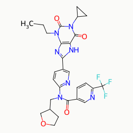 CCCn1c(=O)n(C2CC2)c(=O)c2[nH]c(-c3ccc(N(CC4CCOC4)C(=O)c4ccc(C(F)(F)F)nc4)nc3)nc21